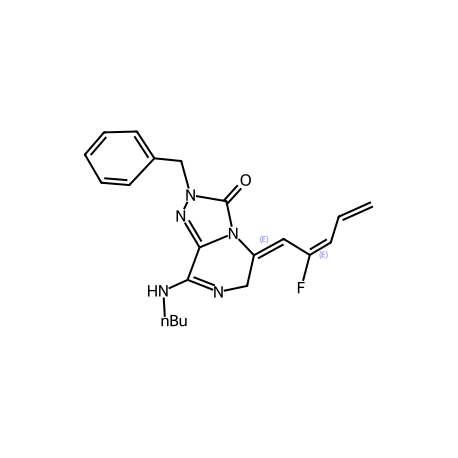 C=C/C=C(F)\C=C1/CN=C(NCCCC)c2nn(Cc3ccccc3)c(=O)n21